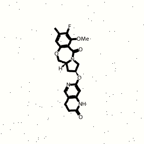 COc1c(F)c(C)cc2c1C(=O)N1C[C@@H](Oc3cc4c(cn3)CCC(=O)N4)C[C@@H]1CO2